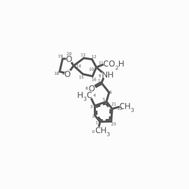 Cc1cc(C)c(CC(=O)NC2(C(=O)O)CCC3(CC2)OCCO3)c(C)c1